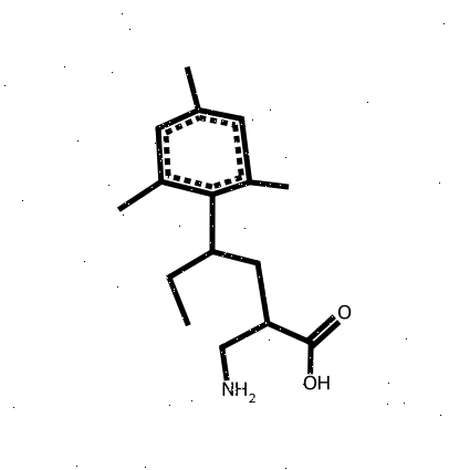 CCC(CC(CN)C(=O)O)c1c(C)cc(C)cc1C